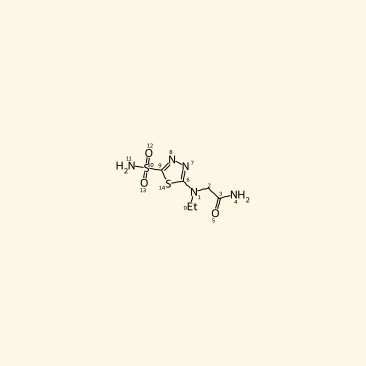 CCN(CC(N)=O)c1nnc(S(N)(=O)=O)s1